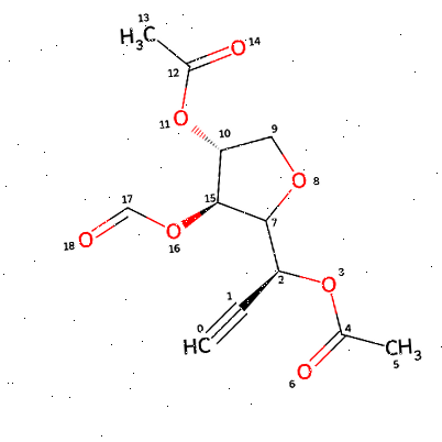 C#C[C@H](OC(C)=O)C1OC[C@@H](OC(C)=O)[C@@H]1OC=O